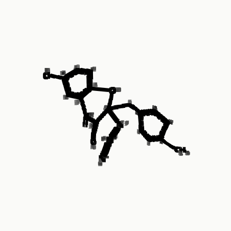 Cc1ccc(CC2(N=[N+]=[N-])Oc3ccc(Cl)cc3NC2=O)cc1